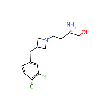 N[C@H](CO)CCN1CC(Cc2ccc(Cl)c(F)c2)C1